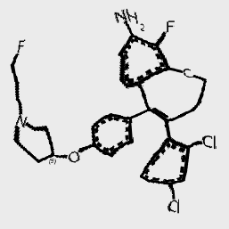 Nc1ccc2c(c1F)CCCC(c1ccc(Cl)cc1Cl)=C2c1ccc(O[C@H]2CCN(CCCF)C2)cc1